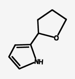 c1c[nH]c(C2CCCO2)c1